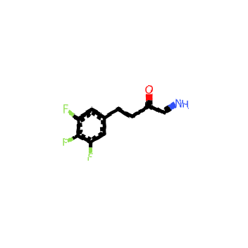 N=CC(=O)CCc1cc(F)c(F)c(F)c1